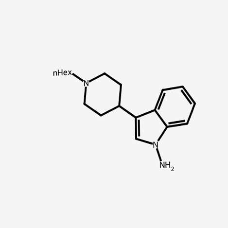 CCCCCCN1CCC(c2cn(N)c3ccccc23)CC1